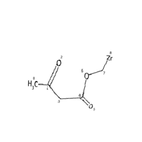 CC(=O)CC(=O)O[CH2][Zr]